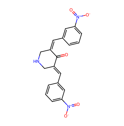 O=C1C(=Cc2cccc([N+](=O)[O-])c2)CNCC1=Cc1cccc([N+](=O)[O-])c1